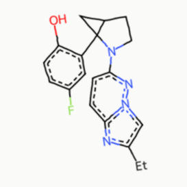 CCc1cn2nc(N3CCC4CC43c3cc(F)ccc3O)ccc2n1